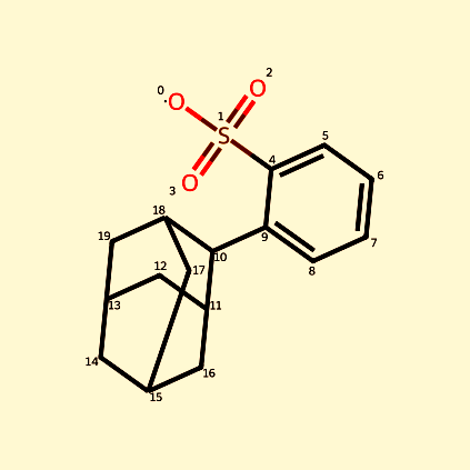 [O]S(=O)(=O)c1ccccc1C1C2CC3CC(C2)CC1C3